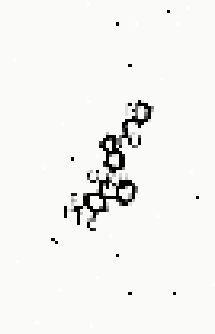 O=C(Nc1ccc2c(c1)CCN2C(=O)Cc1ccccn1)c1cc(C(F)(F)F)c(Cl)cc1-c1ccccc1